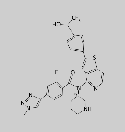 Cn1cc(-c2ccc(C(=O)N(c3nccc4sc(-c5ccc(C(O)C(F)(F)F)cc5)cc34)[C@@H]3CCCNC3)c(F)c2)nn1